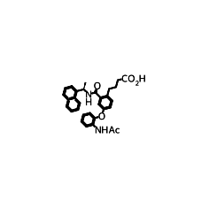 CC(=O)Nc1ccccc1Oc1ccc(CCCC(=O)O)c(C(=O)N[C@H](C)c2cccc3ccccc23)c1